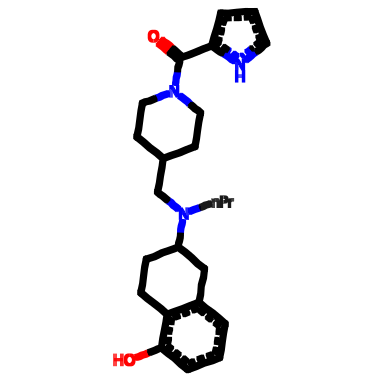 CCCN(CC1CCN(C(=O)c2ccc[nH]2)CC1)C1CCc2c(O)cccc2C1